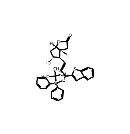 CC(C)(C)[Si](OC(C=C[C@@H]1[C@H]2CC(=O)O[C@H]2C[C@H]1O)c1cc2ccccc2s1)(c1ccccc1)c1ccccc1